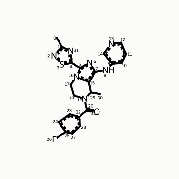 Cc1nsc(-c2nc(Nc3cccnc3)c3n2CCN(C(=O)c2ccc(F)cc2)C3C)n1